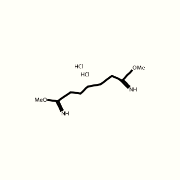 COC(=N)CCCCCC(=N)OC.Cl.Cl